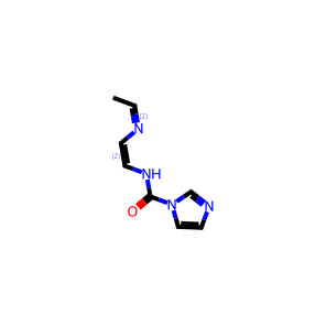 C/C=N\C=C/NC(=O)n1ccnc1